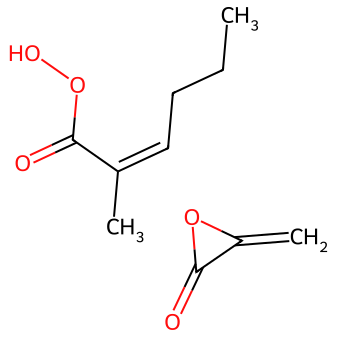 C=C1OC1=O.CCCC=C(C)C(=O)OO